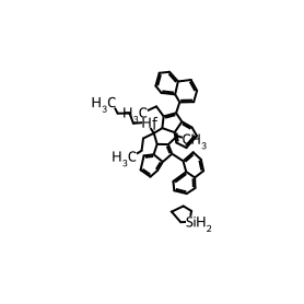 C1CC[SiH2]C1.CCC[CH2][Hf][C](CCC)(C1C(CC)=C(c2cccc3ccccc23)c2ccccc21)C1C(CC)=C(c2cccc3ccccc23)c2ccccc21